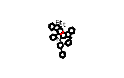 CCC1(CC)c2ccccc2-c2c(-c3ccccc3N(c3ccc(-c4ccccc4)cc3)c3ccc4c(c3)C(C)(c3ccccc3)c3ccccc3-4)cccc21